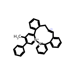 Cc1cc2[n+](cc1-c1ccccc1)-[n+]1ccccc1-c1ccccc1/C=C/Cc1ccccc1-2